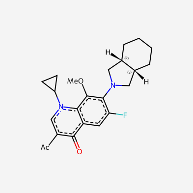 COc1c(N2C[C@H]3CCCC[C@H]3C2)c(F)cc2c(=O)c(C(C)=O)cn(C3CC3)c12